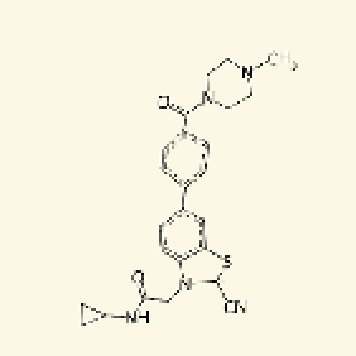 CN1CCN(C(=O)c2ccc(-c3ccc4c(c3)S[C](C#N)N4CC(=O)NC3CC3)cc2)CC1